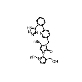 CCCCc1cn(-c2c(CO)ccn2CCC)c(=O)n1Cc1ccc(-c2ccccc2-c2nnn[nH]2)nc1